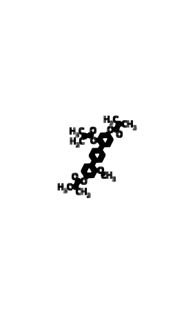 C=C(C)C(=O)Oc1ccc(-c2ccc(-c3ccc(OC(=O)C(=C)C)cc3OC(=O)C(=C)C)cc2)c(OC)c1